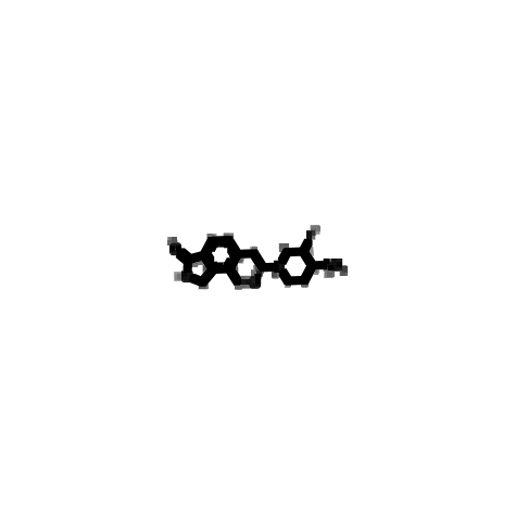 Cc1c(C[C@@H](O)N2CCC(N)C(F)C2)ccc2c1COC2=O